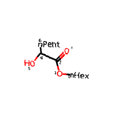 CCCCCCOC(=O)C(O)CCCCC